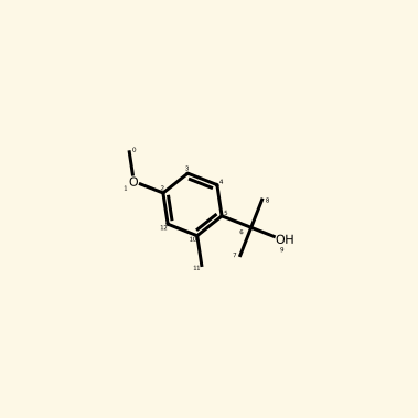 COc1ccc(C(C)(C)O)c(C)c1